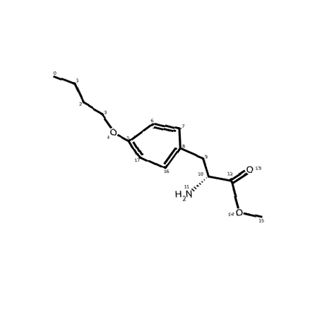 CCCCOc1ccc(C[C@@H](N)C(=O)OC)cc1